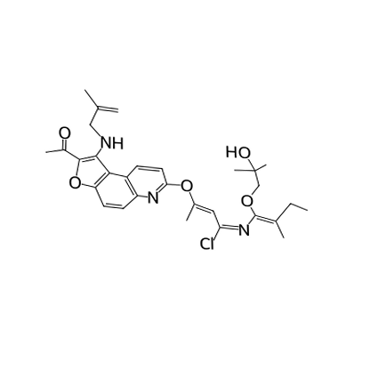 C=C(C)CNc1c(C(C)=O)oc2ccc3nc(O/C(C)=C/C(Cl)=N\C(OCC(C)(C)O)=C(/C)CC)ccc3c12